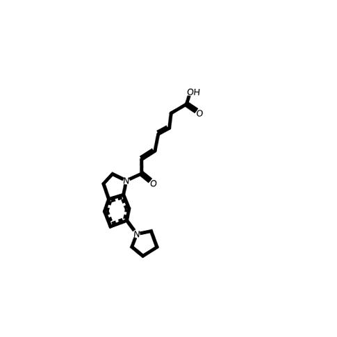 O=C(O)CC=CC=CC(=O)N1CCc2ccc(N3CCCC3)cc21